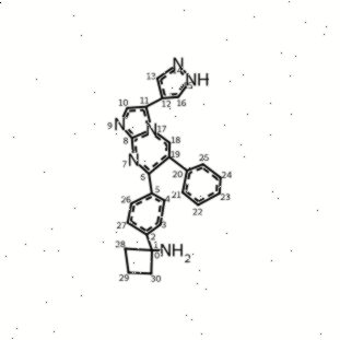 NC1(c2ccc(-c3nc4ncc(-c5cn[nH]c5)n4cc3-c3ccccc3)cc2)CCC1